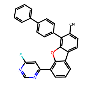 N#Cc1ccc2c(oc3c(-c4cc(F)ncn4)cccc32)c1-c1ccc(-c2ccccc2)cc1